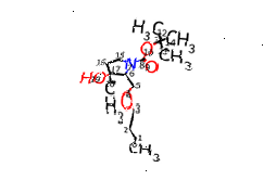 CCCCOC[C@@H]1N(C(=O)OC(C)(C)C)CC[C@@]1(C)O